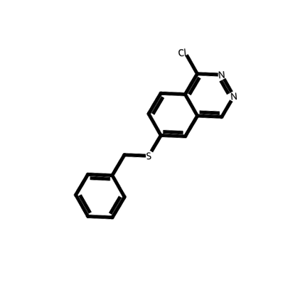 Clc1nncc2cc(SCc3ccccc3)ccc12